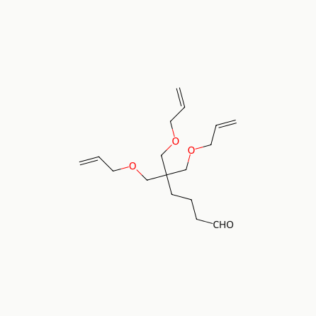 C=CCOCC(CCCC=O)(COCC=C)COCC=C